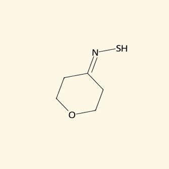 SN=C1CCOCC1